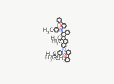 Cc1ccc(N(c2cc3c(c4ccccc24)-c2ccc4cc(N(c5ccc([Si](C)(C)C)cc5)c5cccc6c5oc5ccccc56)ccc4c2C3(C)C)c2cccc3c2oc2ccccc23)cc1